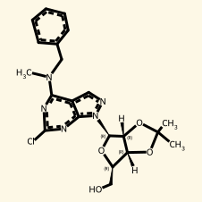 CN(Cc1ccccc1)c1nc(Cl)nc2c1cnn2[C@@H]1O[C@H](CO)[C@H]2OC(C)(C)O[C@H]21